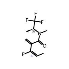 C=C(C(=O)N(C)[C@@H](C)C(F)(F)F)/C(F)=C\C